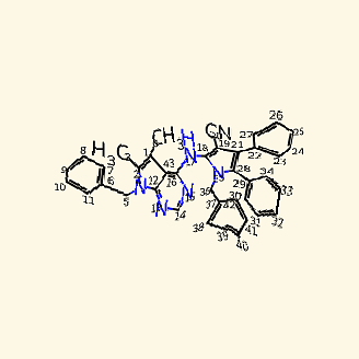 Cc1c(C)n(Cc2ccccc2)c2ncnc(Nc3c(C#N)c(-c4ccccc4)c(-c4ccccc4)n3Cc3ccccc3)c12